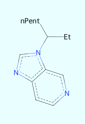 CCCCCC(CC)n1cnc2ccncc21